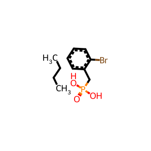 CCCC.O=P(O)(O)Cc1ccccc1Br